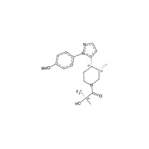 COc1ccc(-n2nccc2[C@H]2CCN(C(=O)[C@@](C)(O)C(F)(F)F)C[C@H]2C)cc1